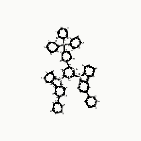 c1ccc(-c2ccc3c(c2)c2ccccc2n3-c2nc(-c3ccc(S(c4ccccc4)(c4ccccc4)c4ccccc4)cc3)nc(-n3c4ccccc4c4cc(-c5ccccc5)ccc43)n2)cc1